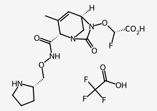 CC1=C[C@@H]2CN(C(=O)N2O[C@@H](F)C(=O)O)[C@@H]1C(=O)NOC[C@@H]1CCCN1.O=C(O)C(F)(F)F